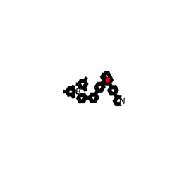 Cc1cc(C)c(B(c2cccc(-c3cccc(-c4ccc(C56CC7CC(CC(c8ccc(-c9cccnc9)cc8)(C7)C5)C6)cc4)c3)c2)c2c(C)cc(C)cc2C)c(C)c1